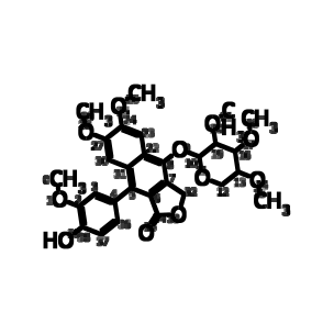 COc1cc(-c2c3c(c(OC4OCC(OC)C(OC)C4OC)c4cc(OC)c(OC)cc24)COC3=O)ccc1O